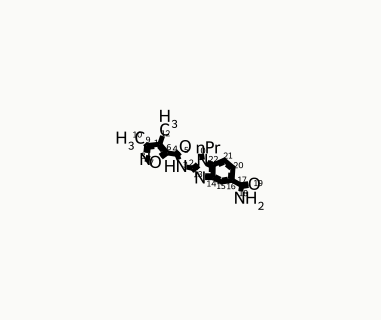 CCCn1c(NC(=O)c2onc(C)c2C)nc2cc(C(N)=O)ccc21